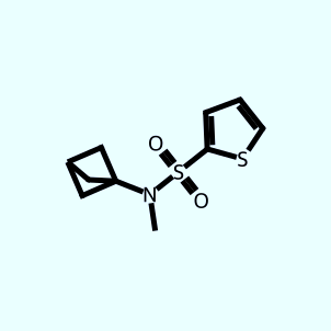 CN(C12CC(C1)C2)S(=O)(=O)c1cccs1